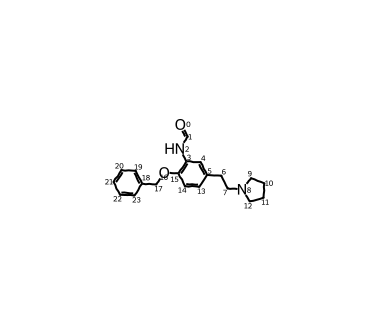 O=CNc1cc(CCN2CCCC2)ccc1OCc1ccccc1